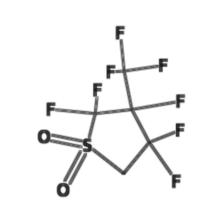 O=S1(=O)CC(F)(F)C(F)(C(F)(F)F)C1(F)F